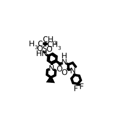 CC(C)(C)S(=O)(=O)Nc1ccc(C(=O)NC2CCN(C3CCC(F)(F)CC3)C2=O)c(N2CCC3(CC2)CC3)c1